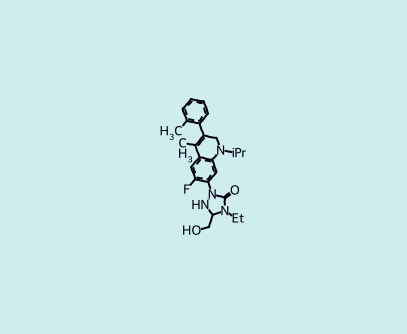 CCN1C(=O)N(c2cc3c(cc2F)C(C)=C(c2ccccc2C)CN3C(C)C)NC1CO